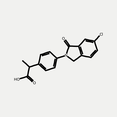 CC(C(=O)O)c1ccc(N2Cc3ccc(Cl)cc3C2=O)cc1